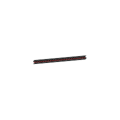 S=S=S=S=S=S=S=S=S=S=S=S=S=S=S=S=S=S=S=S=S=S=S=S=S=S=S=S=S=S=S=S=S=S=S=S=S=S=S=S=S=S=S=S=S=S=S=S=S=S=S=S=S=S=S=S=S=S=S=S=S=S=S=S